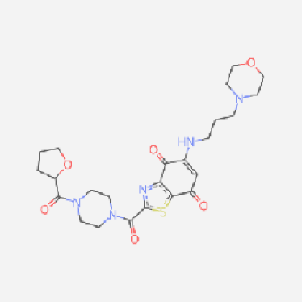 O=C1C(NCCCN2CCOCC2)=CC(=O)c2sc(C(=O)N3CCN(C(=O)C4CCCO4)CC3)nc21